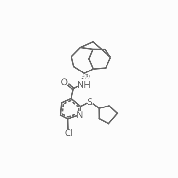 O=C(N[C@@H]1CCC2CC3CC2CC1C3)c1ccc(Cl)nc1SC1CCCC1